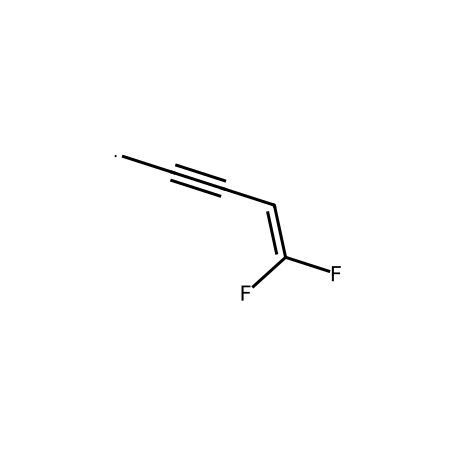 [CH2]C#CC=C(F)F